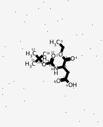 CCOC(=O)C(CC(=O)O)NC(=O)OC(C)(C)C